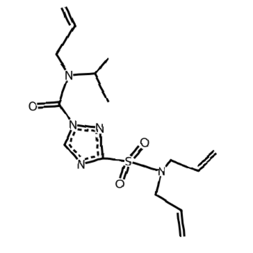 C=CCN(C(=O)n1cnc(S(=O)(=O)N(CC=C)CC=C)n1)C(C)C